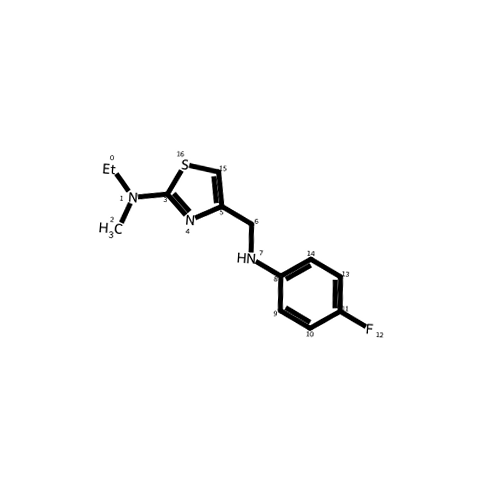 CCN(C)c1nc(CNc2ccc(F)cc2)cs1